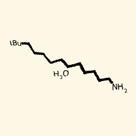 CC(C)(C)CCCCCCCCCCCN.O